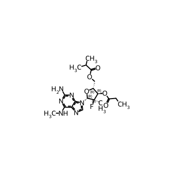 CCC(=O)O[C@@H]1[C@@H](COC(=O)C(C)C)O[C@@H](n2cnc3c(NC)nc(N)nc32)[C@]1(C)F